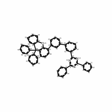 c1ccc(-c2nc(-c3ccccc3)nc(-c3cccc(-c4cccc(-c5cccc6c5Oc5ccccc5C6(c5ccccc5)c5ccccc5)c4)c3)n2)cc1